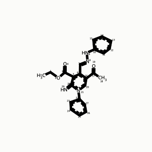 CCOC(=O)c1c(/C=N/Nc2ccccc2)c(C(C)=O)cn(-c2ccccc2)c1=N